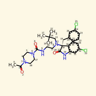 CC(=O)N1CCN(C(=O)NCCN(CC(C)(C)C)[C@]2(Cc3cccc(Cl)c3)C(=O)Nc3cc(Cl)ccc32)CC1